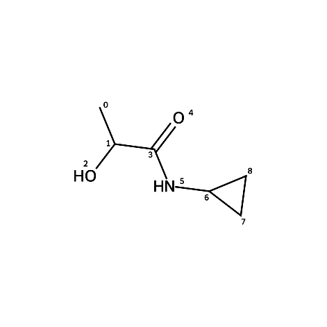 CC(O)C(=O)NC1CC1